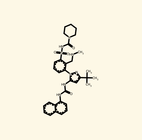 CNCc1c(-n2nc(C(C)(C)C)cc2NC(=O)Nc2cccc3ccccc23)cccc1S(=O)(=O)NC(=O)N1CCCCC1